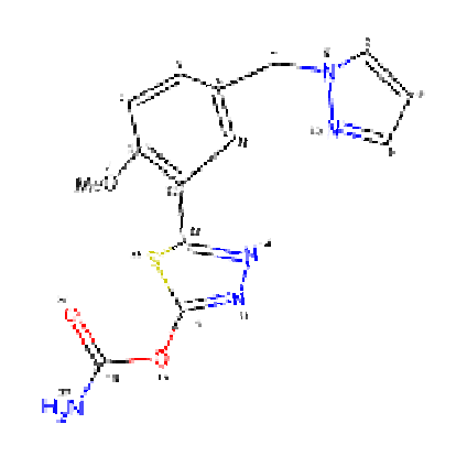 COc1ccc(Cn2cccn2)cc1-c1nnc(OC(N)=O)s1